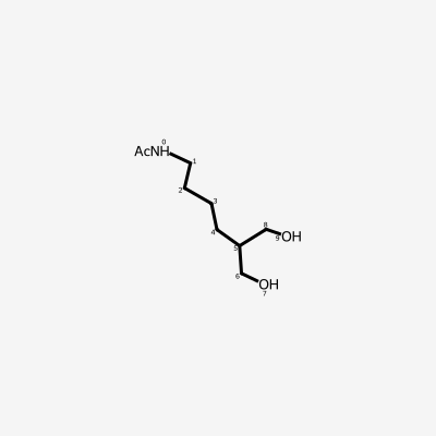 CC(=O)NCCCCC(CO)CO